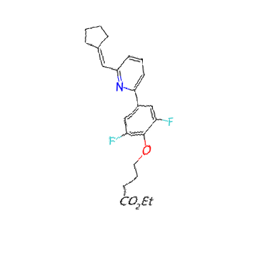 CCOC(=O)CCCOc1c(F)cc(-c2cccc(C=C3CCCC3)n2)cc1F